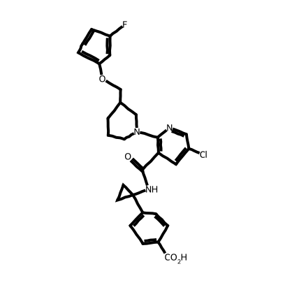 O=C(O)c1ccc(C2(NC(=O)c3cc(Cl)cnc3N3CCCC(COc4cccc(F)c4)C3)CC2)cc1